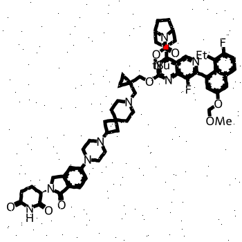 CCc1c(F)ccc2cc(OCOC)cc(-c3ncc4c(N5CC6CCC(C5)N6C(=O)OC(C)(C)C)nc(OCC5(CN6CCC7(CC6)CC(N6CCN(c8ccc9c(c8)CN([C@H]8CCC(=O)NC8=O)C9=O)CC6)C7)CC5)nc4c3F)c12